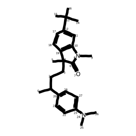 CC(CCC1(C)C(=O)N(C)c2cc(C(C)(C)C)ccc21)c1ccc(N(C)C)cc1